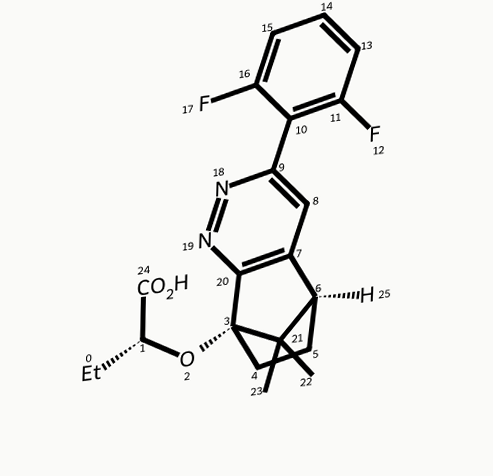 CC[C@@H](O[C@]12CC[C@H](c3cc(-c4c(F)cccc4F)nnc31)C2(C)C)C(=O)O